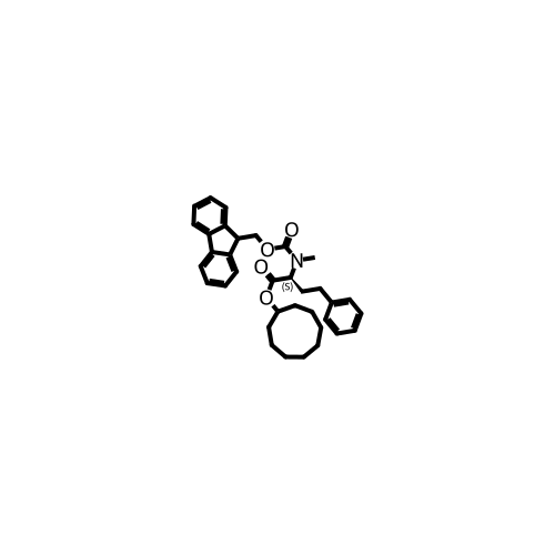 CN(C(=O)OCC1c2ccccc2-c2ccccc21)[C@@H](CCc1ccccc1)C(=O)OC1CCCCCCCC1